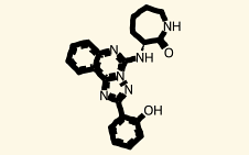 O=C1NCCCC[C@H]1Nc1nc2ccccc2c2nc(-c3ccccc3O)nn12